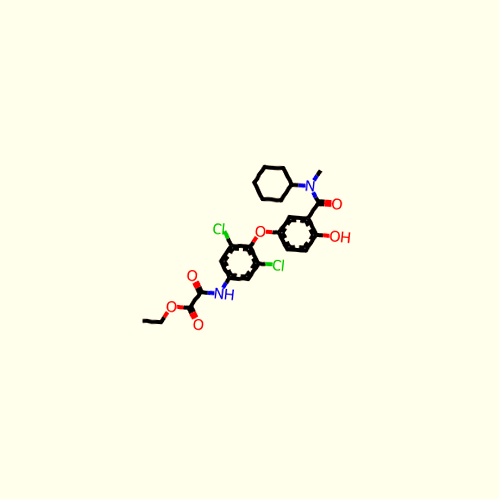 CCOC(=O)C(=O)Nc1cc(Cl)c(Oc2ccc(O)c(C(=O)N(C)C3CCCCC3)c2)c(Cl)c1